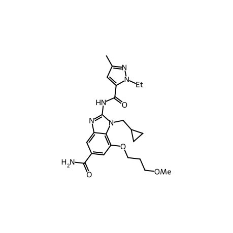 CCn1nc(C)cc1C(=O)Nc1nc2cc(C(N)=O)cc(OCCCOC)c2n1CC1CC1